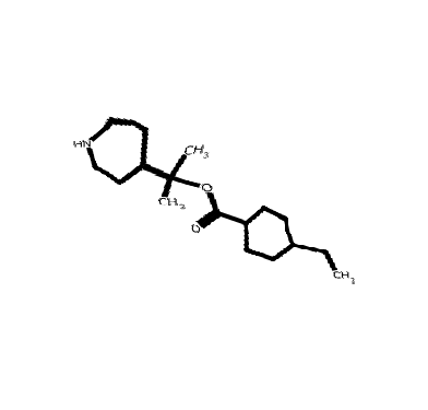 CCC1CCC(C(=O)OC(C)(C)C2CCNCC2)CC1